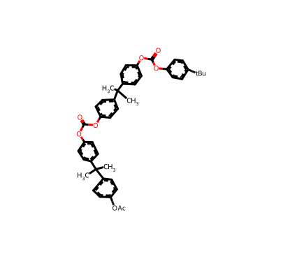 CC(=O)Oc1ccc(C(C)(C)c2ccc(OC(=O)Oc3ccc(C(C)(C)c4ccc(OC(=O)Oc5ccc(C(C)(C)C)cc5)cc4)cc3)cc2)cc1